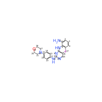 Nc1ccccc1Nc1nc(Nc2ccc(N3CCOCC3)cc2)ncc1I